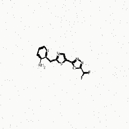 Nc1cccnc1Cc1ncc(-c2nnc(C(F)F)o2)s1